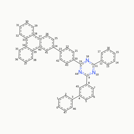 c1ccc(-c2cccc(-c3nc(-c4ccccc4)nc(-c4ccc(-c5ccc6c7ccccc7c7ccccc7c6c5)cc4)n3)c2)cc1